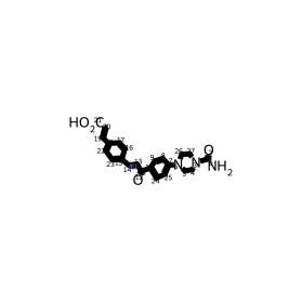 NC(=O)N1CCN(c2ccc(C(=O)/C=C/c3ccc(C=CC(=O)O)cc3)cc2)CC1